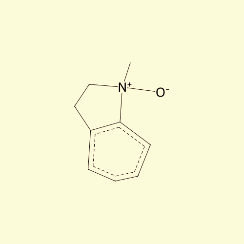 C[N+]1([O-])CCc2ccccc21